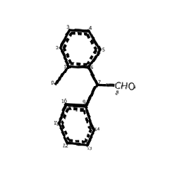 Cc1ccccc1C(C=O)c1ccccc1